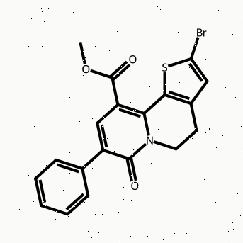 COC(=O)c1cc(-c2ccccc2)c(=O)n2c1-c1sc(Br)cc1CC2